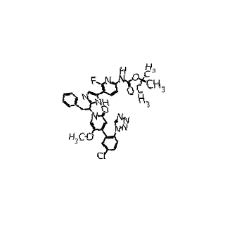 COc1cn(C(Cc2ccccc2)c2ncc(-c3ccc(NC(=O)OC(C)(C)C)nc3F)[nH]2)c(=O)cc1-c1cc(Cl)ccc1-n1cnnn1